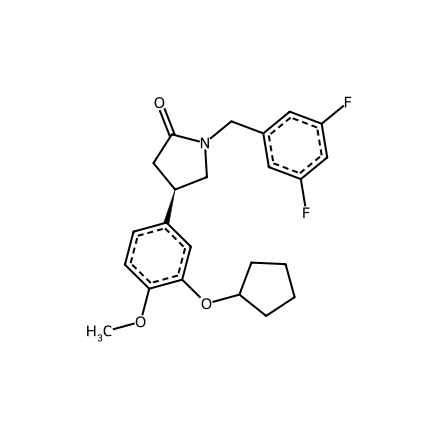 COc1ccc([C@H]2CC(=O)N(Cc3cc(F)cc(F)c3)C2)cc1OC1CCCC1